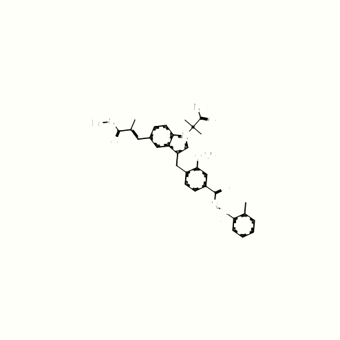 CCCNC(=O)/C(C)=C/c1ccc2c(c1)c(Cc1ccc(C(=O)NS(=O)(=O)c3ccccc3C)cc1OC)cn2C(C)(C)C(N)=O